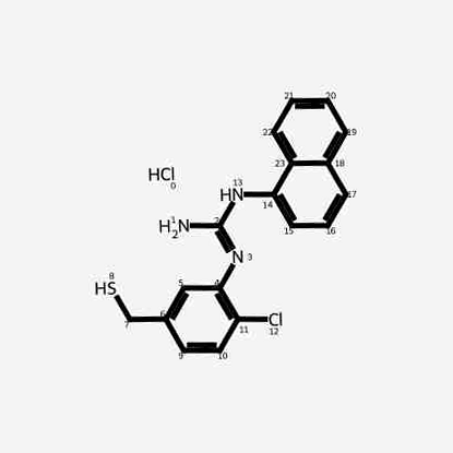 Cl.NC(=Nc1cc(CS)ccc1Cl)Nc1cccc2ccccc12